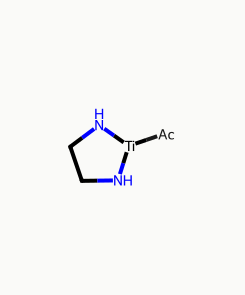 C[C](=O)[Ti]1[NH]CC[NH]1